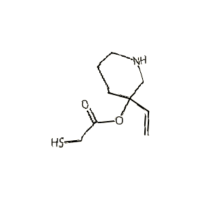 C=CC1(OC(=O)CS)CCCNC1